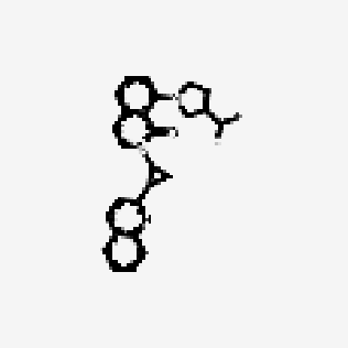 O=c1c2c(N3CCC(C(F)F)C3)cccc2ccn1C1CC1c1ccc2ccccc2n1